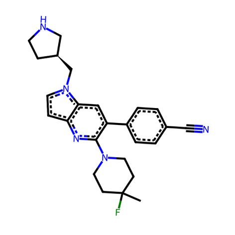 CC1(F)CCN(c2nc3ccn(C[C@H]4CCNC4)c3cc2-c2ccc(C#N)cc2)CC1